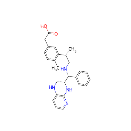 Cc1ccc(CC(=O)O)cc1[C@H](C)CN[C@H](c1ccccc1)[C@H]1CNc2cccnc2N1